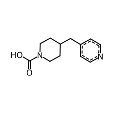 O=C(O)N1CCC(Cc2ccncc2)CC1